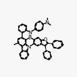 Cc1cc2c3c4c1c1ccccc1n4-c1cc4c(-c5ccccc5)c(-c5ccccc5)oc4cc1B3N(c1ccc(N(C)C)cc1)c1ccccc1-2